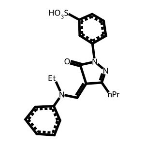 CCCC1=NN(c2cccc(S(=O)(=O)O)c2)C(=O)C1=CN(CC)c1ccccc1